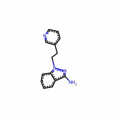 Nc1nn(CCc2cccnc2)c2ccccc12